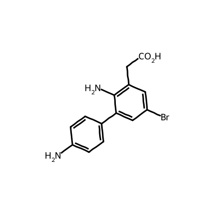 Nc1ccc(-c2cc(Br)cc(CC(=O)O)c2N)cc1